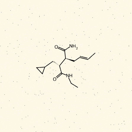 C/C=C/C[C@H](C(N)=O)[C@@H](CC1CC1)C(=O)NCC